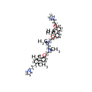 Cc1c(CCCCN2CCCC2)cccc1-c1cccc(OCCCN(C)CCCN(C)CCCOc2cccc(-c3cccc(OCCCN4CCCC4)c3C)c2C)c1C